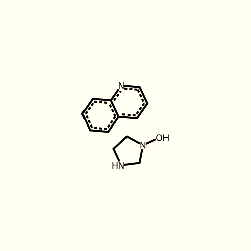 ON1CCNC1.c1ccc2ncccc2c1